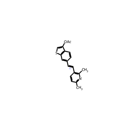 CC(=O)Oc1csc2cc(/C=C/c3ccc(C)nc3C)ccc12